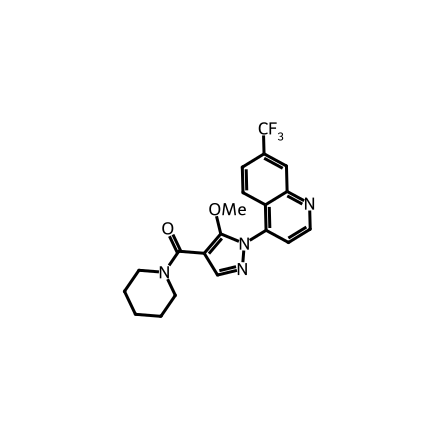 COc1c(C(=O)N2CCCCC2)cnn1-c1ccnc2cc(C(F)(F)F)ccc12